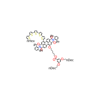 CCCCCCCCCCCCOc1cc(OCCCCCCCCCCCC)cc(C(=O)OCCCCCCOc2cc3c4c(ccc5c6c(-c7ccc(-c8ccc(-c9ccc(-c%10ccc(-c%11ccc(CCCCCC)s%11)s%10)s9)s8)s7)cc7c8c(ccc(c2c45)c86)C(=O)N(c2c(C(C)C)cccc2C(C)C)C7=O)C(=O)N(c2c(C(C)C)cccc2C(C)C)C3=O)c1